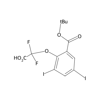 CC(C)(C)OC(=O)c1cc(I)cc(I)c1OC(F)(F)C(=O)O